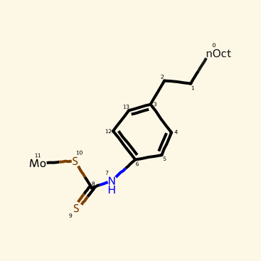 CCCCCCCCCCc1ccc(NC(=S)[S][Mo])cc1